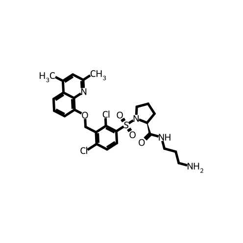 Cc1cc(C)c2cccc(OCc3c(Cl)ccc(S(=O)(=O)N4CCC[C@H]4C(=O)NCCCN)c3Cl)c2n1